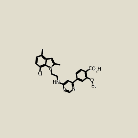 CCOc1cc(-c2cc(NCCn3c(C)cc4c(C)ccc(Cl)c43)ncn2)ccc1C(=O)O